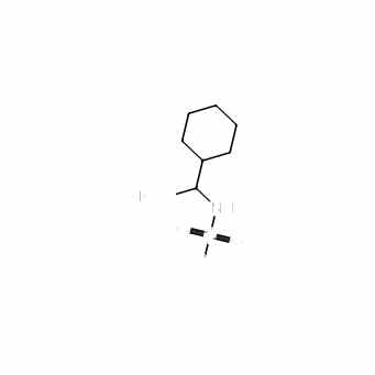 CCS(=O)(=O)NC(C(=O)O)C1CCCCC1